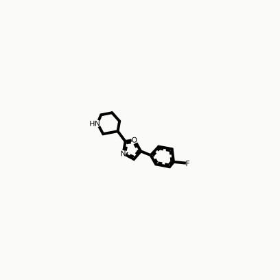 Fc1ccc(-c2cnc(C3CCCNC3)o2)cc1